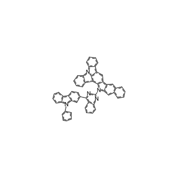 c1ccc(-n2c3ccccc3c3ccc(-c4nc(-n5c6cc7ccccc7cc6c6cc7c8ccccc8n8c9ccccc9c(c65)c78)nc5ccccc45)cc32)cc1